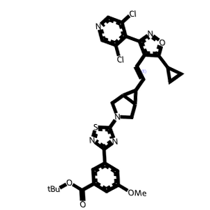 COc1cc(C(=O)OC(C)(C)C)cc(-c2nsc(N3CC4C(/C=C/c5c(-c6c(Cl)cncc6Cl)noc5C5CC5)C4C3)n2)c1